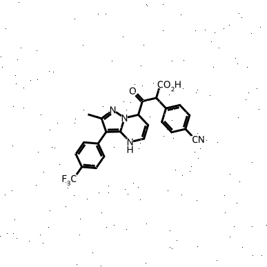 Cc1nn2c(c1-c1ccc(C(F)(F)F)cc1)NC=CC2C(=O)C(C(=O)O)c1ccc(C#N)cc1